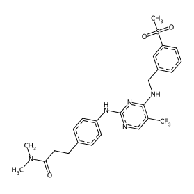 CN(C)C(=O)CCc1ccc(Nc2ncc(C(F)(F)F)c(NCc3cccc(S(C)(=O)=O)c3)n2)cc1